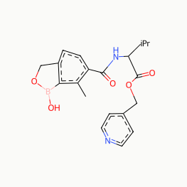 Cc1c(C(=O)NC(C(=O)OCc2ccncc2)C(C)C)ccc2c1B(O)OC2